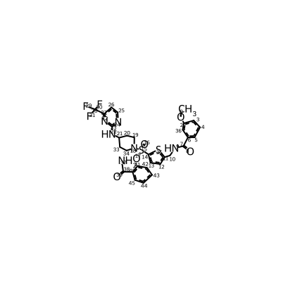 COc1cccc(C(=O)NCc2ccc(S(=O)(=O)N3CCC(Nc4nccc(C(F)(F)F)n4)CC3)s2)c1.NC(=O)c1ccccc1